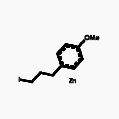 COc1ccc(CCCI)cc1.[Zn]